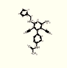 CC(=O)Nc1ccc(-c2c(C#N)c(N)nc(NCc3cccs3)c2C#N)cc1